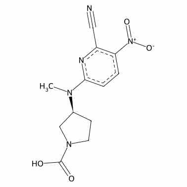 CN(c1ccc([N+](=O)[O-])c(C#N)n1)[C@H]1CCN(C(=O)O)C1